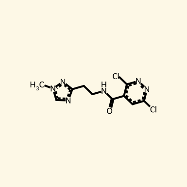 Cn1cnc(CCNC(=O)c2cc(Cl)nnc2Cl)n1